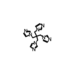 c1cn(CC(Cn2ccnc2)(Cn2ccnc2)Cn2ccnc2)cn1